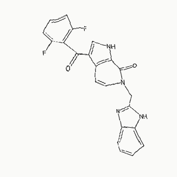 O=C(c1c(F)cccc1F)c1c[nH]c2c(=O)n(Cc3nc4ccccc4[nH]3)ccc12